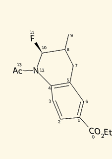 CCOC(=O)c1ccc2c(c1)CC(C)[C@H](F)N2C(C)=O